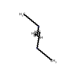 CCCCCCCCCCCCCCCC/C=C\CCCCCCCCNC(CCCC)CC(CCCCCC/C=C\CCCCCCCCCCCCCCCC)C(=O)O